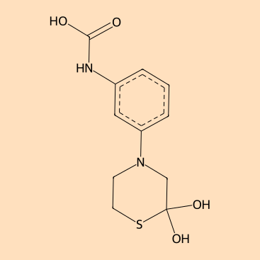 O=C(O)Nc1cccc(N2CCSC(O)(O)C2)c1